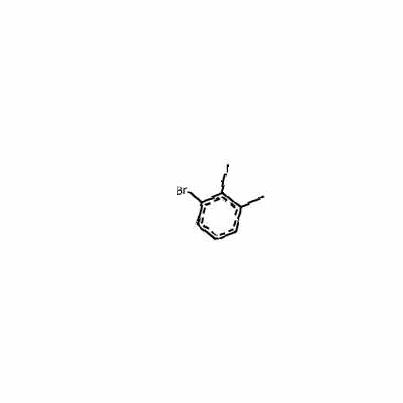 Cc1cccc(Br)c1I